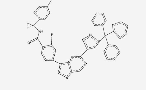 O=C(NC1(c2ccc(F)cc2)CC1)c1ccc(-c2cnc3ccc(-c4cnn(C(c5ccccc5)(c5ccccc5)c5ccccc5)c4)cn23)cc1F